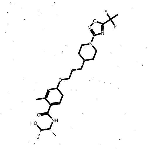 CC1=CC(OCCCC2CCN(c3noc(C(C)(F)F)n3)CC2)CC=C1C(=O)N[C@H](C)[C@H](C)O